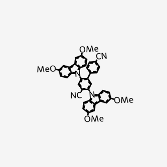 COc1ccc2c(c1)c1cc(OC)ccc1n2-c1cc(-c2ccc(C#N)cc2)c(-n2c3ccc(OC)cc3c3cc(OC)ccc32)cc1C#N